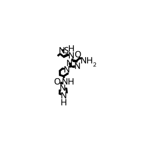 Cc1cc(Nc2nc(N3CCCC(NC(=O)N4CCNCC4)C3)cnc2C(N)=O)sn1